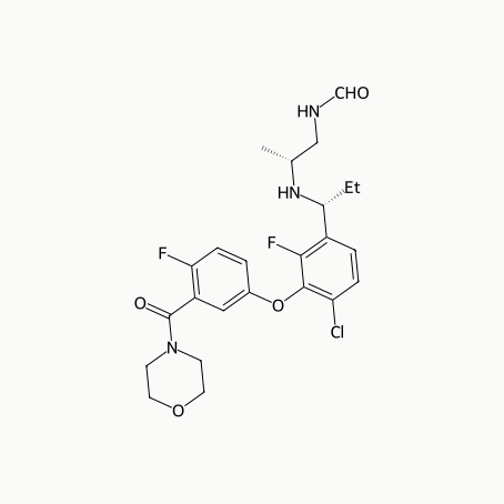 CC[C@@H](N[C@H](C)CNC=O)c1ccc(Cl)c(Oc2ccc(F)c(C(=O)N3CCOCC3)c2)c1F